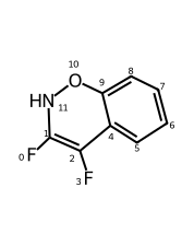 FC1=C(F)c2ccccc2ON1